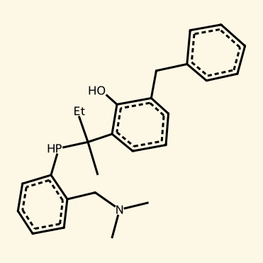 CCC(C)(Pc1ccccc1CN(C)C)c1cccc(Cc2ccccc2)c1O